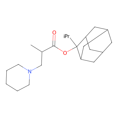 CC(CN1CCCCC1)C(=O)OC1(C(C)C)C2CC3CC(C2)CC1C3